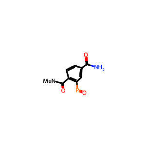 CNC(=O)c1ccc(C(N)=O)cc1P=O